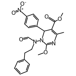 COC(=O)C1=C(C)N=C(OC)N(N(C=O)CCc2ccccc2)C1c1ccc([N+](=O)[O-])cc1